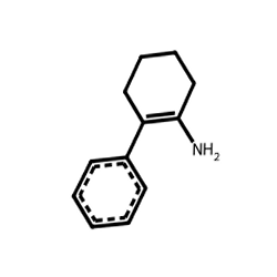 NC1=C(c2ccccc2)CCCC1